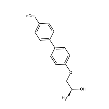 CCCCCCCCc1ccc(-c2ccc(OC[C@H](C)O)cc2)cc1